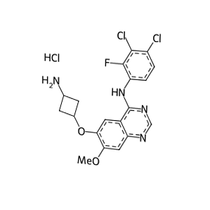 COc1cc2ncnc(Nc3ccc(Cl)c(Cl)c3F)c2cc1OC1CC(N)C1.Cl